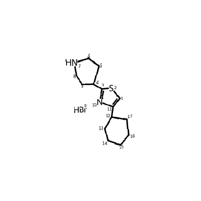 Br.c1sc(C2CCNCC2)nc1C1CCCCC1